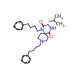 CC(C)C[C@@H]1NC(=O)C2(CCN(CCCCc3ccccc3)CC2)N(CCCCc2ccccc2)C1=O